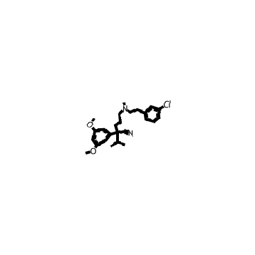 COc1cc(OC)cc(C(C#N)(CCCN(C)CCc2cccc(Cl)c2)C(C)C)c1